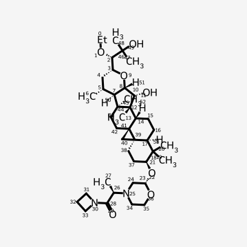 CCO[C@@H]([C@H]1C[C@@H](C)[C@H]2[C@H](O1)[C@H](O)[C@]1(C)[C@@H]3CC[C@H]4C(C)(C)[C@@H](O[C@H]5CN([C@H](C)C(=O)N6CCC6)CCO5)CC[C@@]45C[C@@]35CC[C@@]21C)C(C)(C)O